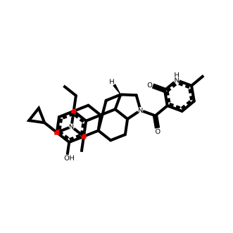 CCc1ccc(O)cc1C12CCN(CC3CC3)C(C)C13CCC1C2[C@@H](CN1C(=O)c1ccc(C)[nH]c1=O)C3